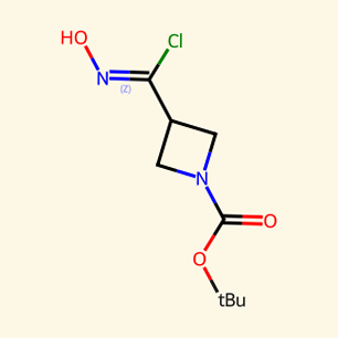 CC(C)(C)OC(=O)N1CC(/C(Cl)=N/O)C1